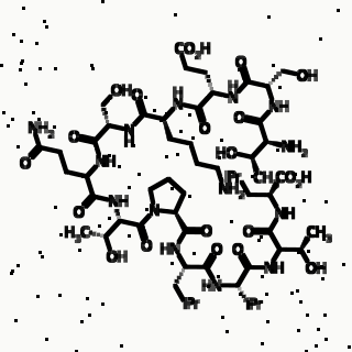 CC(C)C[C@H](NC(=O)C(NC(=O)[C@@H](NC(=O)[C@H](CC(C)C)NC(=O)[C@@H]1CCCN1C(=O)[C@@H](NC(=O)C(CCC(N)=O)NC(=O)[C@H](CO)NC(=O)[C@H](CCCCN)NC(=O)[C@H](CCC(=O)O)NC(=O)[C@H](CO)NC(=O)[C@@H](N)[C@@H](C)O)[C@@H](C)O)C(C)C)[C@@H](C)O)C(=O)O